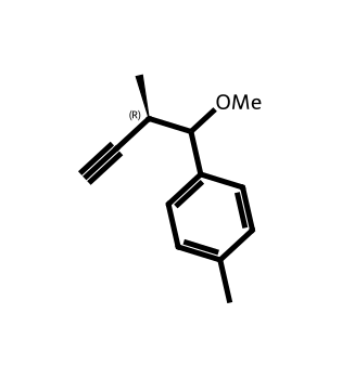 C#C[C@@H](C)C(OC)c1ccc(C)cc1